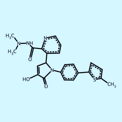 Cc1ccc(-c2ccc(N3C(=O)C(O)=CC3c3cccnc3C(=O)NN(C)C)cc2)s1